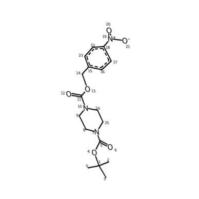 CC(C)(C)OC(=O)N1CCN(C(=O)OCc2ccc([N+](=O)[O-])cc2)CC1